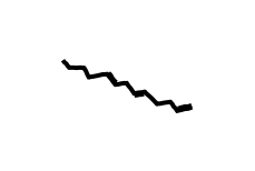 C=CCCC=CCC=CCCCC